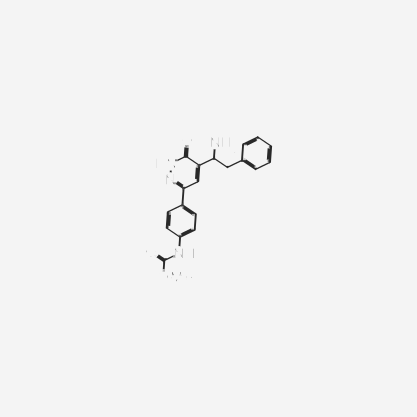 COC(=O)Nc1ccc(-c2cc(C(N)Cc3ccccc3)c(=O)[nH]n2)cc1